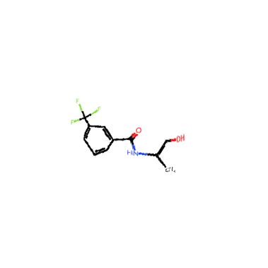 CC(CO)NC(=O)c1cccc(C(F)(F)F)c1